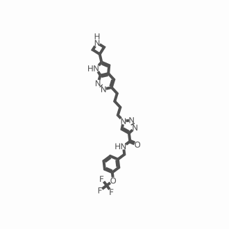 O=C(NCc1cccc(OC(F)(F)F)c1)c1cn(CCCCc2cc3cc(C4CNC4)[nH]c3nn2)nn1